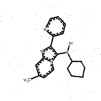 CC(=O)N(c1c(-c2ccccn2)nc2cc(C)ccn12)C1CCCCC1